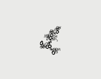 Nc1c(N=Nc2ccc(N=Nc3ccccc3S(=O)(=O)O)c3ccc(N=Nc4ccccc4[N+](=O)[O-])c(O)c23)cc(S(=O)(=O)O)c2cc(S(=O)(=O)O)c(N=Nc3cccc(S(=O)(=O)O)c3)c(O)c12